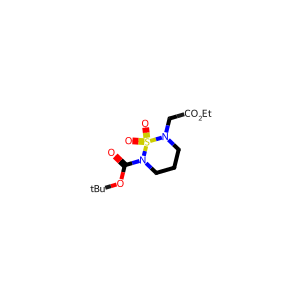 CCOC(=O)CN1CCCN(C(=O)OC(C)(C)C)S1(=O)=O